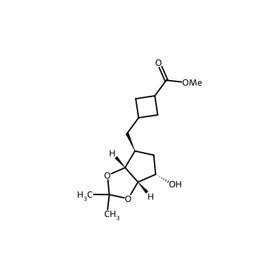 COC(=O)C1CC(C[C@H]2C[C@H](O)[C@@H]3OC(C)(C)O[C@H]23)C1